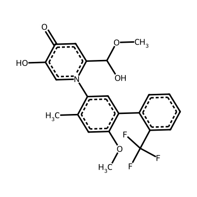 COc1cc(C)c(-n2cc(O)c(=O)cc2C(O)OC)cc1-c1ccccc1C(F)(F)F